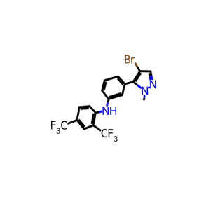 Cn1ncc(Br)c1-c1cccc(Nc2ccc(C(F)(F)F)cc2C(F)(F)F)c1